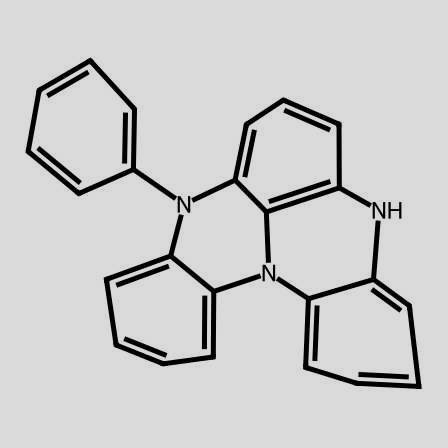 c1ccc(N2c3ccccc3N3c4ccccc4Nc4cccc2c43)cc1